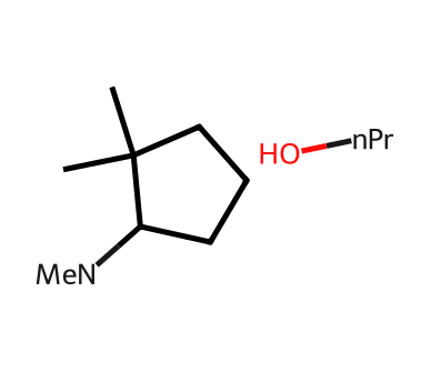 CCCO.CNC1CCCC1(C)C